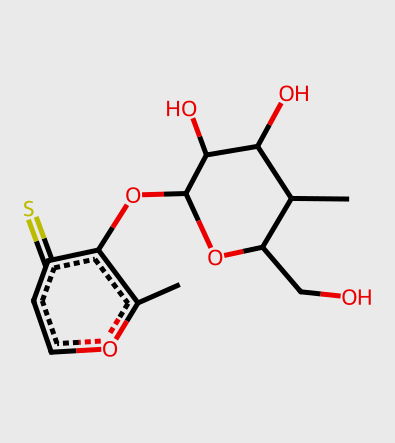 Cc1occc(=S)c1OC1OC(CO)C(C)C(O)C1O